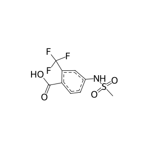 CS(=O)(=O)Nc1ccc(C(=O)O)c(C(F)(F)F)c1